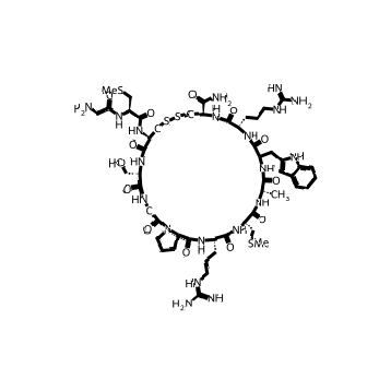 CSC[C@H](NC(=O)CN)C(=O)N[C@H]1CSSC[C@@H](C(N)=O)NC(=O)[C@H](CCCNC(=N)N)NC(=O)C(Cc2cc3ccccc3[nH]2)NC(=O)[C@H](C)NC(=O)[C@H](CSC)NC(=O)[C@H](CCCNC(=N)N)NC(=O)C2CCCN2C(=O)CNC(=O)[C@H](CO)NC1=O